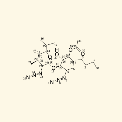 CCCC[C@@H]1CC(N=[N+]=[N-])[C@@H](O[C@H]2OC(C(C)C)[C@@H](C)[C@H](C)C2N=[N+]=[N-])[C@H](O)C1OC(C)=O